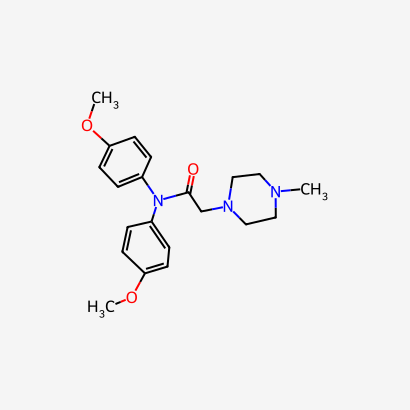 COc1ccc(N(C(=O)CN2CCN(C)CC2)c2ccc(OC)cc2)cc1